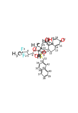 CC(F)(F)CCC1O[C@H]2CC3C4CCC5=CC(=O)C=CC5(C)C4[C@@H](O)CC3(C)[C@]2(C(=O)SCc2ccc3ccccc3c2)O1